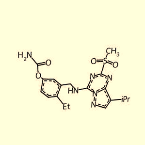 CCc1ccc(OC(N)=O)cc1CNc1nc(S(C)(=O)=O)nc2c(C(C)C)cnn12